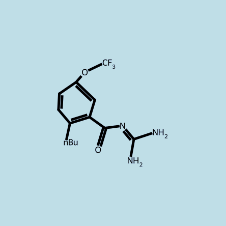 CCCCc1ccc(OC(F)(F)F)cc1C(=O)N=C(N)N